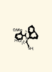 COc1ccccc1C(=O)N(c1cccc2ccccc12)[C@H](CS)C(=O)O